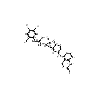 O=C1CCc2c(Oc3ccc4c(c3)C3[C@H](NC(=O)Nc5cc(F)c(F)cc5F)[C@H]3O4)ccnc2N1